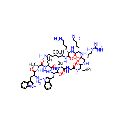 CC[C@H](C)[C@H](NC(=O)[C@H](Cc1c[nH]c2ccccc12)NC(=O)[C@H](C)NC(=O)[C@H](C)NC(=O)[C@@H](N)Cc1c[nH]c2ccccc12)C(=O)NCC(=O)N[C@@H](CC(C)C)C(=O)N[C@@H](CCCNC(=N)N)C(=O)N[C@@H](CCCCN)C(=O)N[C@@H](CCCCN)C(=O)N[C@@H](CCCCN)C(=O)O